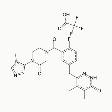 Cc1c(Cc2ccc(F)c(C(=O)N3CCN(c4cncn4C)C(=O)C3)c2)n[nH]c(=O)c1C.O=C(O)C(F)(F)F